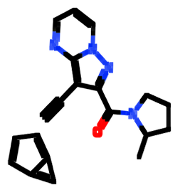 C#Cc1c(C(=O)N2CCCC2C)nn2cccnc12.c1cc2cc-2c1